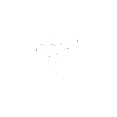 Cc1cc(F)ccc1C1=C(c2c(C)cc(C=C3CN(CCCF)C3)cc2F)c2ccc(C(=O)O)cc2CCC1